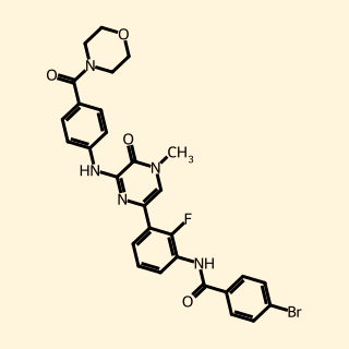 Cn1cc(-c2cccc(NC(=O)c3ccc(Br)cc3)c2F)nc(Nc2ccc(C(=O)N3CCOCC3)cc2)c1=O